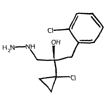 NNC[C@](O)(Cc1ccccc1Cl)C1(Cl)CC1